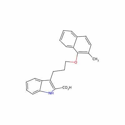 Cc1ccc2ccccc2c1OCCCc1c(C(=O)O)[nH]c2ccccc12